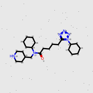 O=C(CCCCc1nnnn1C1CCCCC1)N(CC1CCNCC1)C1CCCCC1